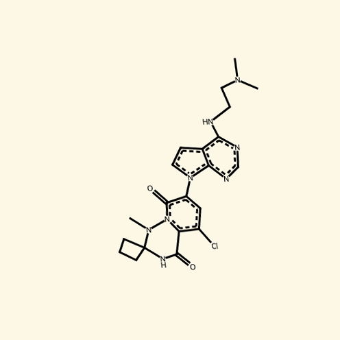 CN(C)CCNc1ncnc2c1ccn2-c1cc(Cl)c2n(c1=O)N(C)C1(CCC1)NC2=O